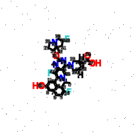 CCc1c(F)ccc2cc(O)cc(-c3ncc4c(N5C[C@H]6C[C@@H](C5)[C@H](C(=O)O)C6)nc(OC[C@@]56CCCN5C[C@H](F)C6)nc4c3F)c12